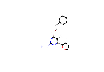 Nc1nc(OCCc2ccccc2)c([N+](=O)[O-])c(-c2ccco2)n1